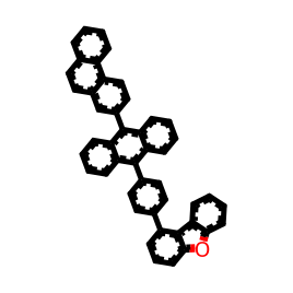 c1ccc2c(c1)ccc1cc(-c3c4ccccc4c(-c4ccc(-c5cccc6oc7ccccc7c56)cc4)c4ccccc34)ccc12